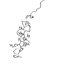 CCCCCCCCCCCCCCCC(=O)O[C@H]1CC[C@@]2(C)C(=CC[C@H]3[C@@H]4C[C@@H]5O[C@]6(CC[C@@H](C)CO6)[C@@H](C)[C@@H]5[C@@]4(C)CC[C@@H]32)C1